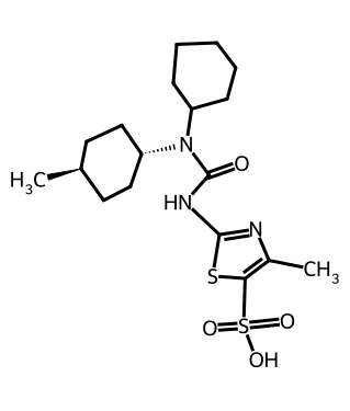 Cc1nc(NC(=O)N(C2CCCCC2)[C@H]2CC[C@H](C)CC2)sc1S(=O)(=O)O